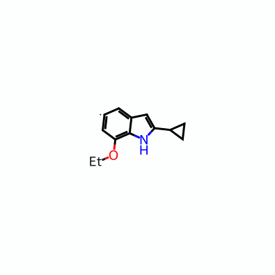 CCOc1c[c]cc2cc(C3CC3)[nH]c12